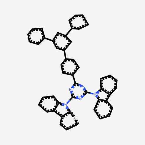 c1ccc(-c2cc(-c3ccccc3)cc(-c3ccc(-c4nc(-n5c6ccccc6c6ccccc65)nc(-n5c6ccccc6c6ccccc65)n4)cc3)c2)cc1